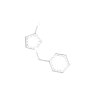 Cc1ccn(Cc2ccccc2)c1